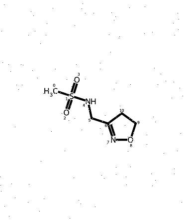 CS(=O)(=O)NCC1=NOCC1